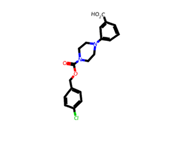 O=C(O)c1cccc(N2CCN(C(=O)OCc3ccc(Cl)cc3)CC2)c1